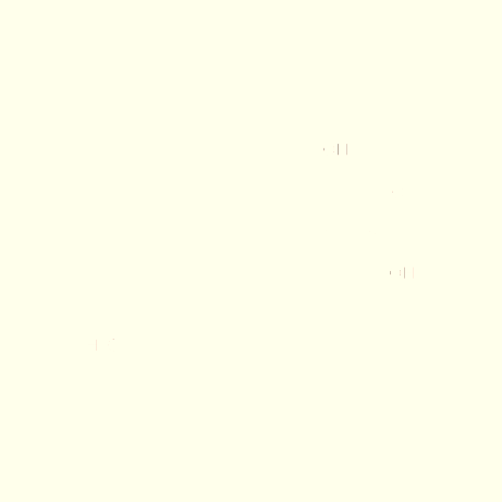 CCCCC1CCC(O)=C(C(=O)O)C1